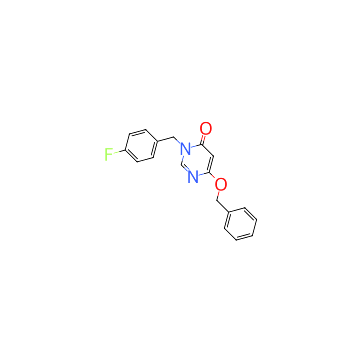 O=c1cc(OCc2ccccc2)ncn1Cc1ccc(F)cc1